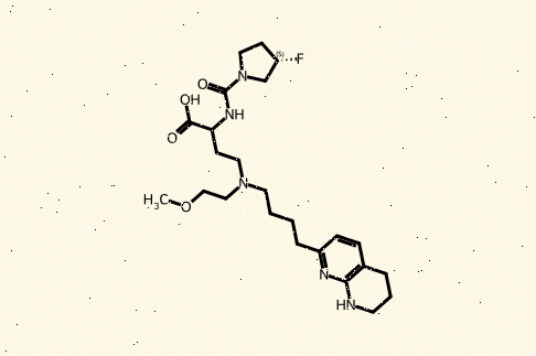 COCCN(CCCCc1ccc2c(n1)NCCC2)CCC(NC(=O)N1CC[C@H](F)C1)C(=O)O